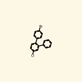 Clc1ccc(-c2ccc(Br)cc2)c(-c2ccccc2)c1